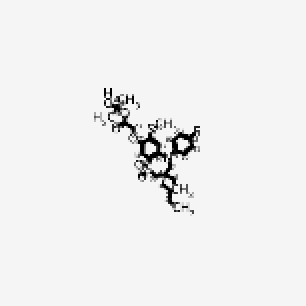 CCCC[C@]1(CC)CN(c2ccc(F)cc2)c2cc(SC)c(OCC(=O)OC(C)(C)C)cc2S(=O)(=O)C1